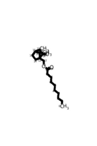 CCCCCCCCCC(=O)OCC12CCC(CC1=O)C2(C)C